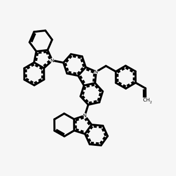 C=Cc1ccc(Cn2c3ccc(-n4c5c(c6ccccc64)C=CCC5)cc3c3cc(-n4c5c(c6ccccc64)C=CCC5)ccc32)cc1